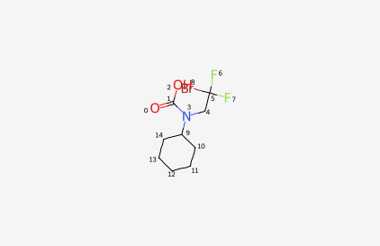 O=C(O)N(CC(F)(F)Br)C1CCCCC1